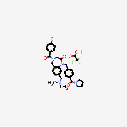 CN(C)Cc1ccc2c(c1)N(Cc1ccc(C(=O)N3CC=CC3)cc1)C(=O)CN(C(=O)c1ccc(Cl)cc1)C2.O=C(O)C(F)(F)F